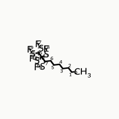 CCCCCCCC(SF)C(SF)(SF)[C](SF)SF